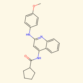 COc1ccc(Nc2cc(NC(=O)C3CCCC3)c3ccccc3n2)cc1